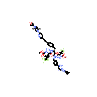 COC(=O)N[C@H](C(=O)N[C@@H](Cc1ccc(C#Cc2ccc(N3C[C@H]4C[C@@H]3CN4C3COC3)nc2)cc1)[C@@H](O)CN(Cc1ccc(C(=N)/C=C\NC2CC2)cc1)NC(=O)[C@@H](NC(=O)OC)C(C)(C)C(F)(F)F)C(C)(C)C(F)(F)F